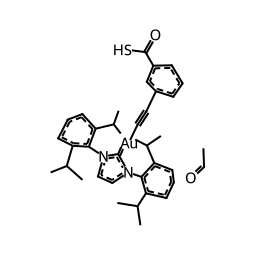 CC(C)c1cccc(C(C)C)c1-n1ccn(-c2c(C(C)C)cccc2C(C)C)[c]1=[Au][C]#Cc1cccc(C(=O)S)c1.CC=O